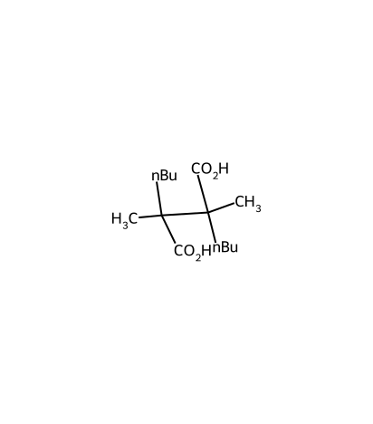 CCCCC(C)(C(=O)O)C(C)(CCCC)C(=O)O